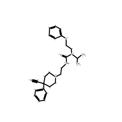 CC(C)N(CCOc1ccccc1)C(=O)NCCN1CCC(C#N)(c2ccccc2)CC1